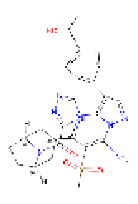 CC(O)c1ccc(-c2cnn3c(N)c(S(C)(=O)=O)c([C@H]4C[C@H]5CC[C@@H](C4)N5C(=O)c4nnc[nH]4)nc23)cc1